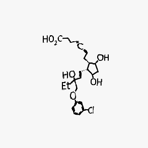 CCC(O)(C=C[C@@H]1[C@@H](CC=C=CCCC(=O)O)[C@@H](O)C[C@H]1O)COc1cccc(Cl)c1